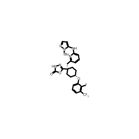 CC(C)(C)n1nccc1Nc1cccc(C[C@]2(c3n[nH]c(=O)o3)CC[C@H](Oc3cccc(C(F)(F)F)c3F)CC2)n1